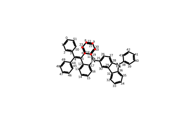 c1ccc(C(=C(c2ccccc2)c2ccccc2N(c2ccccc2)c2ccc3c(c2)c2ccccc2n3-c2ccccc2)c2ccccc2)cc1